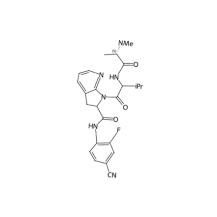 CN[C@@H](C)C(=O)NC(C(=O)N1c2ncccc2CC1C(=O)Nc1ccc(C#N)cc1F)C(C)C